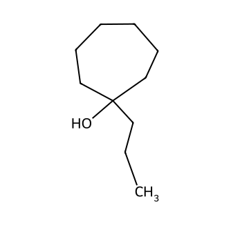 CCCC1(O)CCCCCC1